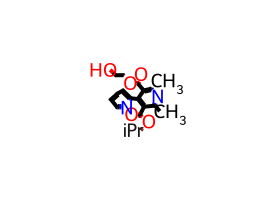 Cc1nc(C)c(C(=O)OC(C)C)c(-c2ccccn2)c1C(=O)OCCO